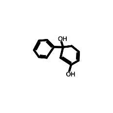 OC1=CC(O)(c2ccccc2)CC=C1